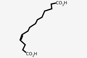 O=C(O)CC/C=C\CCCCCCCCC(=O)O